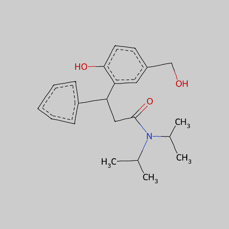 CC(C)N(C(=O)CC(c1ccccc1)c1cc(CO)ccc1O)C(C)C